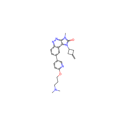 C=C1CC(n2c(=O)n(C)c3nnc4ccc(-c5ccc(OCCCN(C)C)nc5)cc4c32)C1